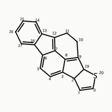 C1=CC2c3ccc4c5c3=C(CCC=5c3ccccc3-4)C2S1